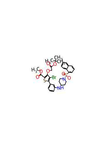 COC(=O)c1sc(-c2cccc(NC3CCN(S(=O)(=O)c4cccc5ccccc45)CC3)c2)c(Br)c1OCC(=O)OC(C)(C)C